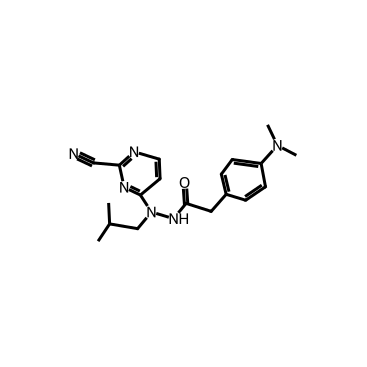 CC(C)CN(NC(=O)Cc1ccc(N(C)C)cc1)c1ccnc(C#N)n1